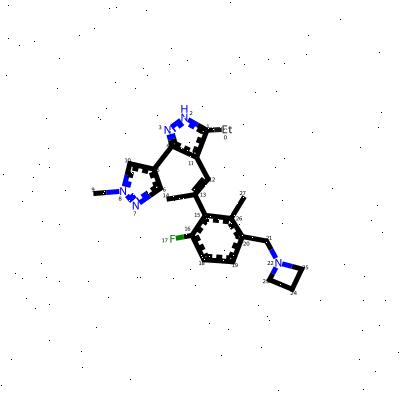 CCc1[nH]nc(-c2cnn(C)c2)c1/C=C(\C)c1c(F)ccc(CN2CCC2)c1C